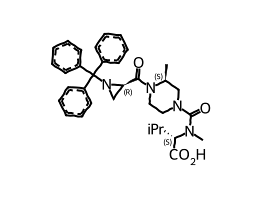 CC(C)[C@@H](C(=O)O)N(C)C(=O)N1CCN(C(=O)[C@H]2CN2C(c2ccccc2)(c2ccccc2)c2ccccc2)[C@@H](C)C1